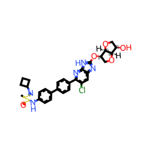 CS(=O)(=NC1CCC1)Nc1ccc(-c2ccc(-c3nc4[nH]c(O[C@@H]5CO[C@H]6[C@@H]5OC[C@H]6O)nc4cc3Cl)cc2)cc1